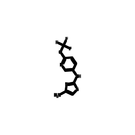 Nc1csc(Nc2ccc(OC(F)(F)F)nc2)n1